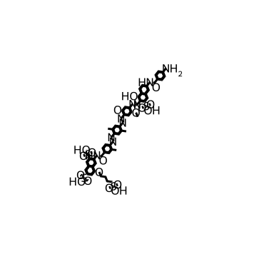 COc1cc(N=Nc2c(S(=O)(=O)O)cc3cc(NC(=O)c4ccc(N)cc4)ccc3c2O)c(OC)cc1N=Nc1cc(C)c(N=Nc2ccc(C(=O)Nc3cc4c(OCCCCS(=O)(=O)O)cc(S(=O)(=O)O)cc4cc3S(=O)(=O)O)cc2C)cc1C